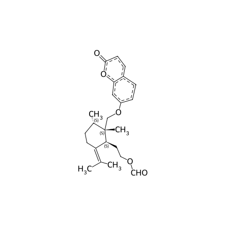 CC(C)=C1CC[C@H](C)[C@](C)(COc2ccc3ccc(=O)oc3c2)[C@H]1CCOC=O